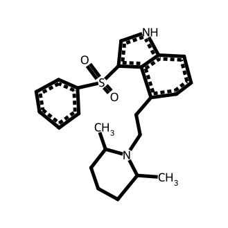 CC1CCCC(C)N1CCc1cccc2[nH]cc(S(=O)(=O)c3ccccc3)c12